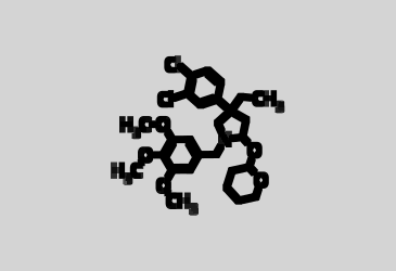 CCC1(c2ccc(Cl)c(Cl)c2)CC(OC2CCCCO2)N(Cc2cc(OC)c(OC)c(OC)c2)C1